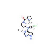 CC(=O)N1CCCC1C(=O)N1CCC(C)C(N(C)c2ncnc3[nH]ccc23)C1.Cl